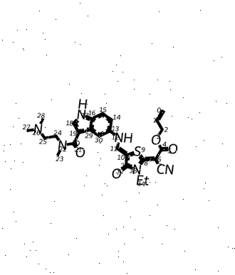 C=CCOC(=O)C(C#N)=c1sc(=CNc2ccc3[nH]cc(C(=O)N(C)CCN(C)C)c3c2)c(=O)n1CC